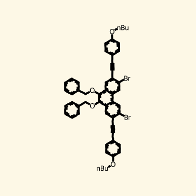 CCCCOc1ccc(C#Cc2cc3c(OCc4ccccc4)c(OCc4ccccc4)c4cc(C#Cc5ccc(OCCCC)cc5)c(Br)cc4c3cc2Br)cc1